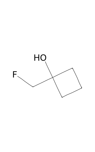 OC1(CF)CCC1